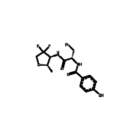 CC(C)C[C@H](NC(=O)c1ccc(O)cc1)C(=O)N[C@H]1[C@@H](C)OCC1(F)F